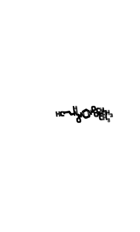 C#CCCNC(=O)N1CCN(C(=O)OC(C)(C)C)CC1